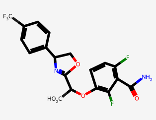 NC(=O)c1c(F)ccc(OC(C(=O)O)C2=NC(c3ccc(C(F)(F)F)cc3)CO2)c1F